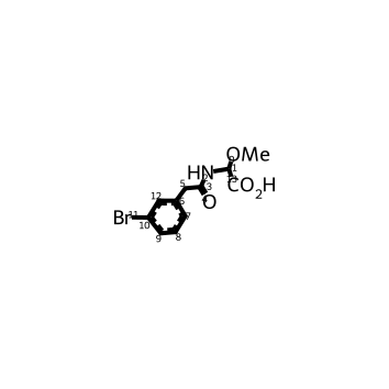 COC(NC(=O)Cc1cccc(Br)c1)C(=O)O